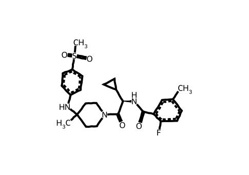 Cc1ccc(F)c(C(=O)N[C@@H](C(=O)N2CCC(C)(Nc3ccc(S(C)(=O)=O)cc3)CC2)C2CC2)c1